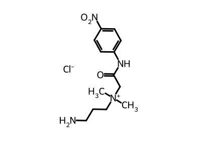 C[N+](C)(CCCN)CC(=O)Nc1ccc([N+](=O)[O-])cc1.[Cl-]